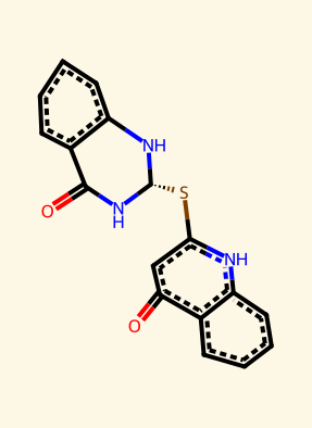 O=C1N[C@@H](Sc2cc(=O)c3ccccc3[nH]2)Nc2ccccc21